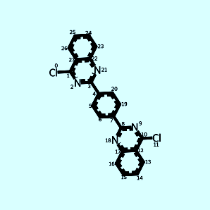 Clc1nc(-c2ccc(-c3nc(Cl)c4ccccc4n3)cc2)nc2ccccc12